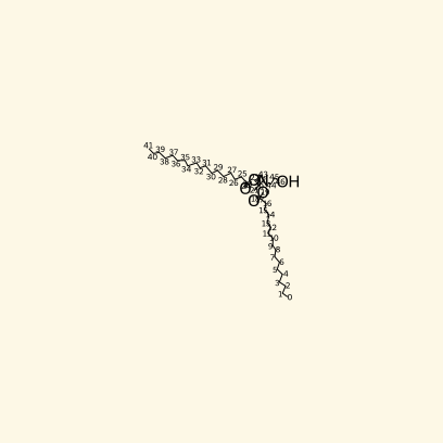 CCCCCCCCCCCCCCCCCC(=O)OC(C)(OC(=O)CCCCCCCCCCCCCCCCC)N(C)CCO